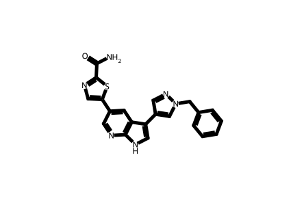 NC(=O)c1ncc(-c2cnc3[nH]cc(-c4cnn(Cc5ccccc5)c4)c3c2)s1